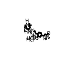 Cl.Cl.Cn1cnc(-c2ccc(-c3cnc(N[C@H]4CC(C)(C)NC(C)(C)[C@H]4F)nn3)c(O)c2)cc1=O